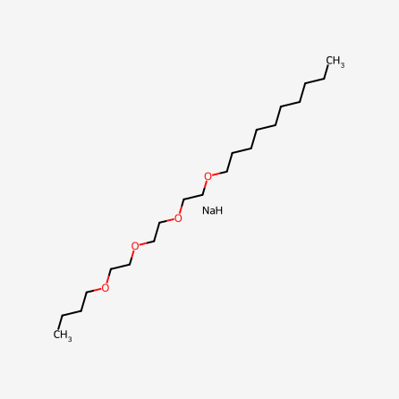 CCCCCCCCCCOCCOCCOCCOCCCC.[NaH]